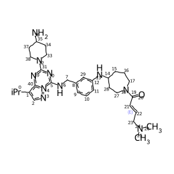 CC(C)c1cnn2c(NCc3cccc(NC4CCCN(C(=O)/C=C/CN(C)C)CC4)c3)nc(N3CCC(N)CC3)nc12